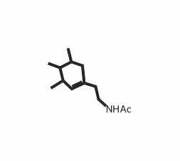 CC(=O)NCCC1=CC(C)C(C)C(C)C1